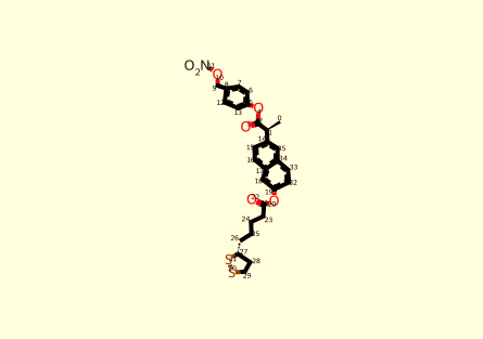 C[C@H](C(=O)Oc1ccc(CO[N+](=O)[O-])cc1)c1ccc2cc(OC(=O)CCCC[C@@H]3CCSS3)ccc2c1